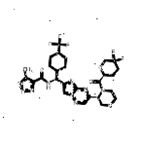 Cc1nonc1C(=O)N[C@H](c1cn2ncc([C@@H]3COCCN3C(=O)[C@@H]3CCC(F)(F)CO3)nc2n1)C1CCC(C(F)(F)F)CC1